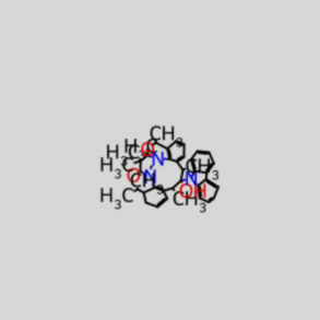 CC(C)c1cccc2c1N1CN(C(=O)C(C)(C)C1=O)C1=C(C=CCC1C(C)C)C(C)C(O)(n1c3ccccc3c3ccccc31)C2C